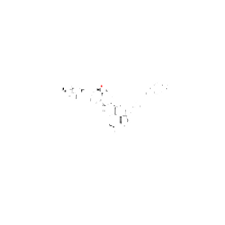 C=C(C)[C@@H]1CC[C@]2(CC(=O)NCCCN3CCN(C)CC3)CC[C@]3(C)[C@H](CC[C@@H]4[C@@]5(C)CC[C@H](OC(=O)CC(C)(C)C(=O)O)C(C)(C)[C@@H]5CC[C@]43C)[C@@H]12